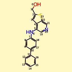 OCc1cc2c(Nc3ccc(-c4ccccc4)cc3)cncc2s1